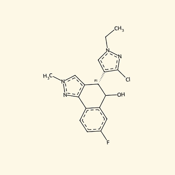 CCn1cc([C@H]2c3cn(C)nc3-c3ccc(F)cc3C2O)c(Cl)n1